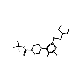 CCC(CC)COc1cc(Br)c(C)c(N2CCN(C(=O)OC(C)(C)C)CC2)c1